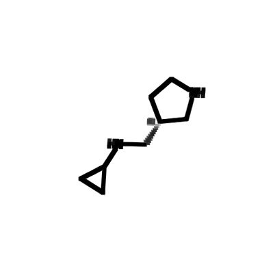 C1C[C@@H](CNC2CC2)CN1